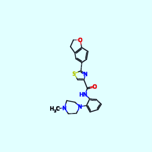 CN1CCN(c2ccccc2NC(=O)c2csc(-c3ccc4c(c3)CCO4)n2)CC1